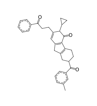 Cc1cccc(C(=O)C2CCC3=C(CC4=C3C(=O)C(C3CC3)C(CCC(=O)c3ccccc3)=C4)C2)c1